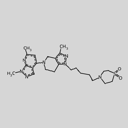 Cc1cc(N2CCc3c(c(C)nn3CCCCCN3CCS(=O)(=O)CC3)C2)c2cnn(C)c2n1